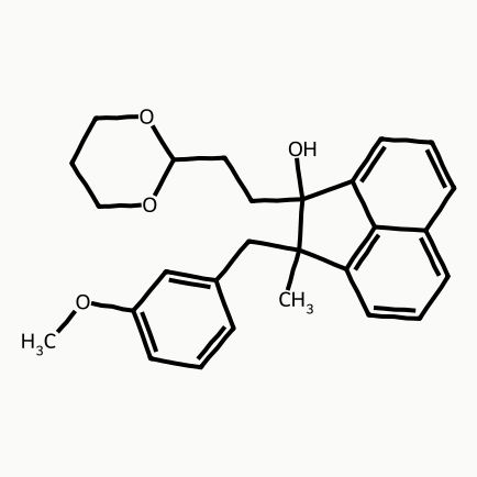 COc1cccc(CC2(C)c3cccc4cccc(c34)C2(O)CCC2OCCCO2)c1